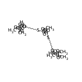 C=CC(=O)OCC(C)(COC(=O)C=C)NC(=O)OCCCCCCCCCSCCCn1c(=O)n(CC)c(=O)n(CCCSCCCCCCCCCOC(=O)NC(C)(COC(=O)C=C)COC(=O)C=C)c1=O